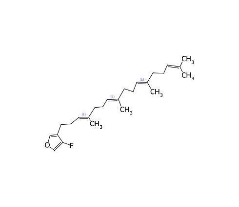 CC(C)=CCC/C(C)=C/CC/C(C)=C/CC/C(C)=C/CCc1cocc1F